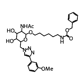 COc1cccc(-c2cn(CC3OC(OCCCCCCNC(=O)OCc4ccccc4)C(NC(C)=O)C(O)C3O)nn2)c1